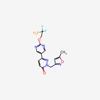 Cc1cc(Cn2nc(-c3cnc(OCC(F)(F)P)nc3)ccc2=O)no1